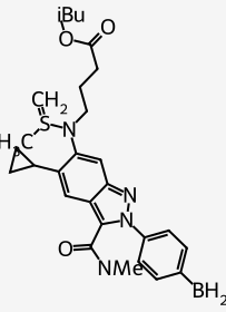 Bc1ccc(-n2nc3cc(N(CCCC(=O)OC(C)CC)S(=C)C)c(C4CC4)cc3c2C(=O)NC)cc1